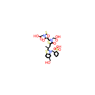 C/C(C=c1s/c(=C2/OC(=S)N(CC(=O)O)C2=O)n(CC(=O)O)c1=O)=C1\Sc2ccc(CO)cc2N1Cc1ccccc1S(=O)(=O)O